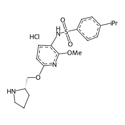 COc1nc(OC[C@@H]2CCCN2)ccc1NS(=O)(=O)c1ccc(C(C)C)cc1.Cl